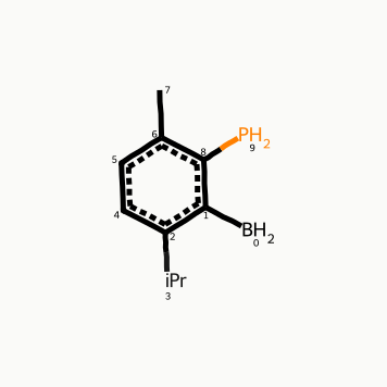 Bc1c(C(C)C)ccc(C)c1P